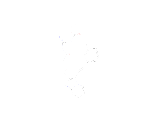 CC(C)(C)OC(=O)NC(=N)NC(=O)COCc1nc2ccccn2c1C#Cc1cccc(C(F)(F)F)c1